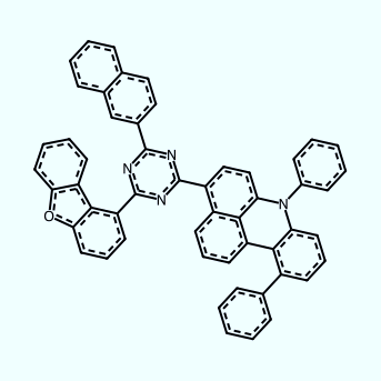 c1ccc(-c2cccc3c2-c2cccc4c(-c5nc(-c6ccc7ccccc7c6)nc(-c6cccc7oc8ccccc8c67)n5)ccc(c24)N3c2ccccc2)cc1